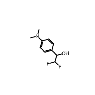 CN(C)c1ccc(C(O)C(F)F)cc1